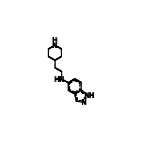 c1cc2[nH]ncc2cc1NCCC1CCNCC1